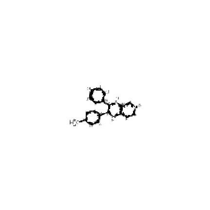 Cc1ccc(-c2nc3ccncc3nc2-c2ccccc2)cc1